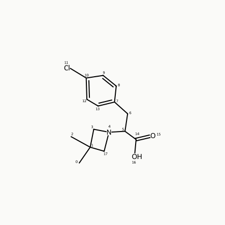 CC1(C)CN(C(Cc2ccc(Cl)cc2)C(=O)O)C1